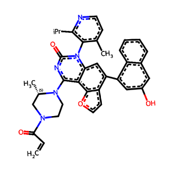 C=CC(=O)N1CCN(c2nc(=O)n(-c3c(C)ccnc3C(C)C)c3cc(-c4cc(O)cc5ccccc45)c4ccoc4c23)[C@@H](C)C1